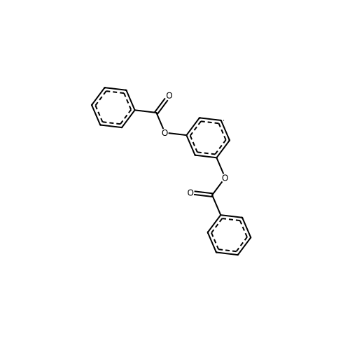 O=C(Oc1c[c]cc(OC(=O)c2ccccc2)c1)c1ccccc1